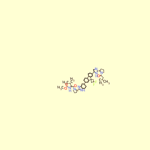 COC(=O)N[C@H](C(=O)N1CCC[C@H]1c1nc2cc(-c3ccc4c(c3)C3(CC(F)(F)C3)c3cc(-c5cnc([C@@H]6CCCN6C(=O)CC(C)C)[nH]5)ccc3-4)ccc2[nH]1)C(C)C